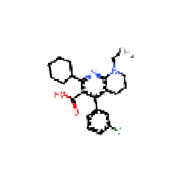 CCN1CCCc2c1nc(C1CCCCC1)c(C(=O)O)c2-c1cccc(Cl)c1